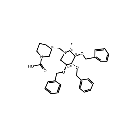 C[C@@H]1[C@@H](OCc2ccccc2)[C@H](OCc2ccccc2)[C@@H](OCc2ccccc2)CN1C[C@H]1CCCN(C(=O)O)C1